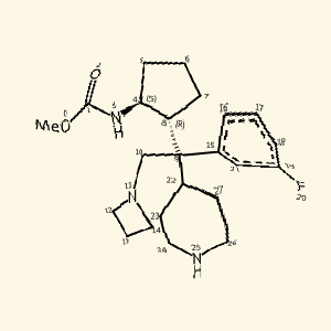 COC(=O)N[C@H]1CCC[C@@H]1C(CN1CCC1)(c1cccc(F)c1)C1CCNCC1